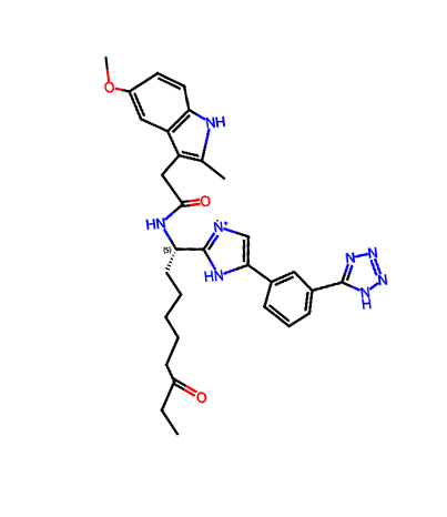 CCC(=O)CCCCC[C@H](NC(=O)Cc1c(C)[nH]c2ccc(OC)cc12)C1=[N+]C=C(c2cccc(-c3nnn[nH]3)c2)N1